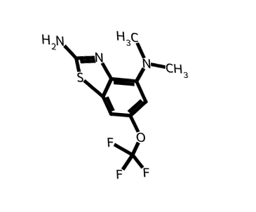 CN(C)c1cc(OC(F)(F)F)cc2sc(N)nc12